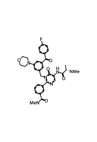 CNC(=O)c1cccc(-c2ncc(NC(=O)[C@H](C)NC)c(=O)n2Cc2cc(C(=O)c3ccc(F)cc3)cc(N3CCOCC3)c2)c1